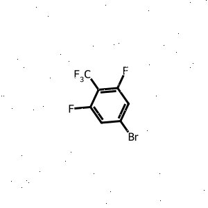 Fc1cc(Br)cc(F)c1C(F)(F)F